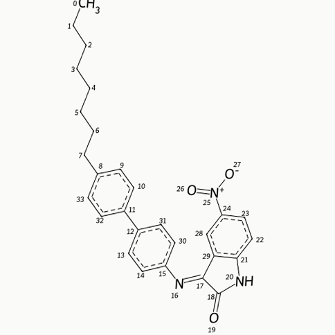 CCCCCCCCc1ccc(-c2ccc(/N=C3/C(=O)Nc4ccc([N+](=O)[O-])cc43)cc2)cc1